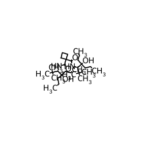 CCCC(O)(CCC)[C@H](NC(=O)C1(C(=O)N[C@H](C(C)(C)C)C(O)(CCC)CCC)CCC1)C(C)(C)C